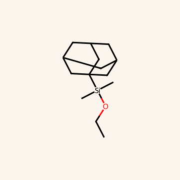 CCO[Si](C)(C)C12CC3CC(CC(C3)C1)C2